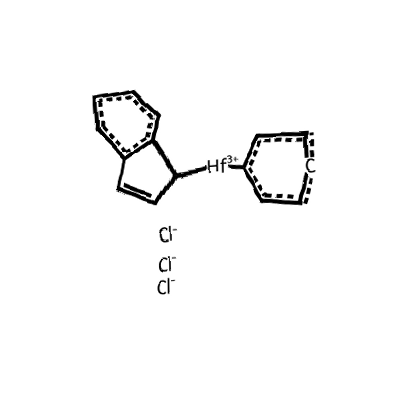 C1=C[CH]([Hf+3][c]2ccccc2)c2ccccc21.[Cl-].[Cl-].[Cl-]